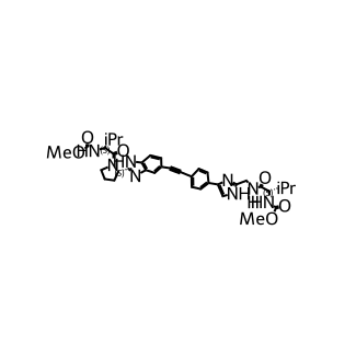 COC(=O)N[C@H](C(=O)NCc1nc(-c2ccc(C#Cc3ccc4[nH]c([C@@H]5CCCN5C(=O)[C@@H](NC(=O)OC)C(C)C)nc4c3)cc2)c[nH]1)C(C)C